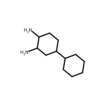 NC1CCC(C2CCCCC2)CC1N